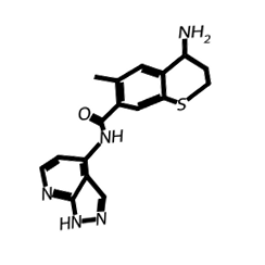 Cc1cc2c(cc1C(=O)Nc1ccnc3[nH]ncc13)SCCC2N